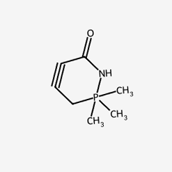 CP1(C)(C)CC#CC(=O)N1